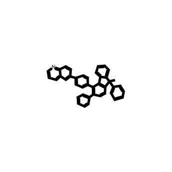 CC1(c2ccccc2)c2ccccc2-c2c1ccc(-c1ccccc1)c2-c1ccc(-c2ccc3ncccc3c2)cc1